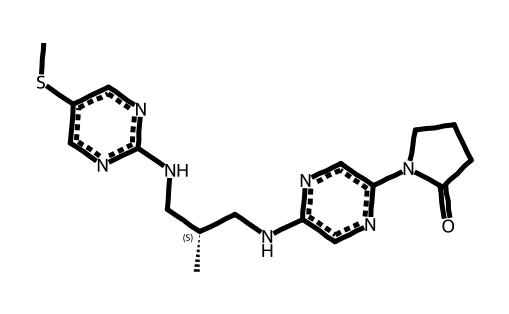 CSc1cnc(NC[C@@H](C)CNc2cnc(N3CCCC3=O)cn2)nc1